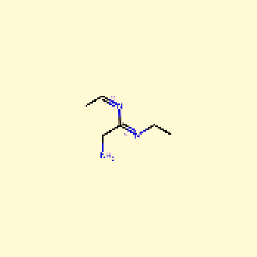 C/C=N\C(CN)=N/CC